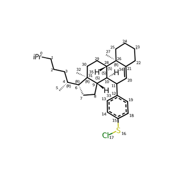 CC(C)CCC[C@@H](C)[C@H]1CC[C@H]2[C@@H]3C(c4ccc(SCl)cc4)C=C4C[CH]CC[C@]4(C)[C@H]3CC[C@]12C